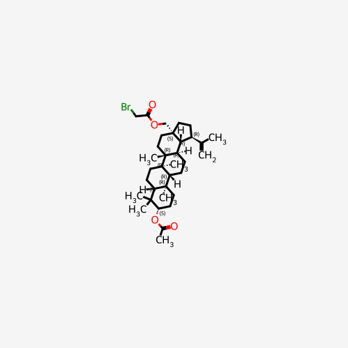 C=C(C)[C@@H]1CC[C@]2(COC(=O)CBr)CC[C@]3(C)[C@H](CC[C@@H]4[C@@]5(C)CC[C@H](OC(C)=O)C(C)(C)[C@@H]5CC[C@]43C)[C@@H]12